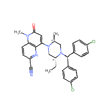 CC[C@@H]1CN(c2cc(=O)n(C)c3ccc(C#N)nc23)[C@@H](C)CN1C(c1ccc(Cl)cc1)c1ccc(Cl)cc1